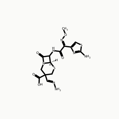 CON=C(C(=O)NC1C(=O)N2CC(C=NN)(C(=O)O)CS[C@H]12)c1csc(N)n1